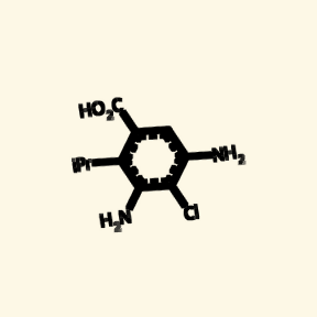 CC(C)c1c(C(=O)O)cc(N)c(Cl)c1N